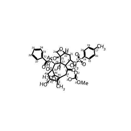 COC(=O)O[C@H]1C(=O)[C@]2(C)C(OS(=O)(=O)c3ccc(C)cc3)C[C@H]3OC[C@@]3(OC(C)=O)[C@H]2[C@H](OC(=O)c2ccccc2)[C@]2(O)C[C@H](O)C(C)=C1C2(C)C